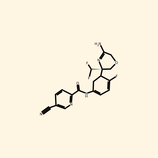 N#Cc1ccc(C(=O)NC2=CC=C(F)C([C@]3(C(F)F)COCC(N)=N3)C2)nc1